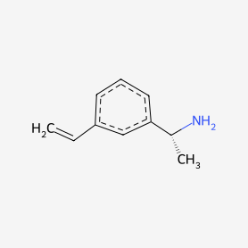 C=Cc1cccc([C@@H](C)N)c1